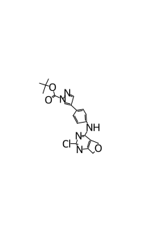 CC(C)(C)OC(=O)n1cc(-c2ccc(Nc3nc(Cl)nc4c3COC4)cc2)cn1